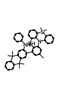 Cc1cc(-c2cc3c(cc2Nc2ccccc2)C(C)(C)c2ccccc2C3(C)C)c2c(c1)N1c3ccccc3[Si](C)(C)c3cccc(c31)B2